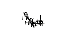 COCCNc1cccc(Nc2nccc(-c3ccc4[nH]cnc4c3)n2)c1